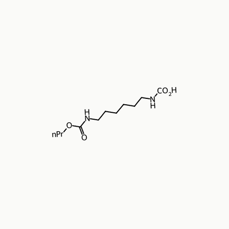 CCCOC(=O)NCCCCCCNC(=O)O